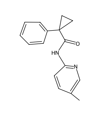 Cc1ccc(NC(=O)C2(c3ccccc3)CC2)nc1